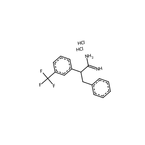 Cl.Cl.N=C(N)C(Cc1ccccc1)c1cccc(C(F)(F)F)c1